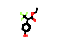 CCOC(=O)C(c1ccc(O)cc1)C(F)(F)F